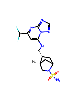 NS(=O)(=O)N1C[C@@H]2CC1C[C@H]2CNc1cc(C(F)F)nc2ncnn12